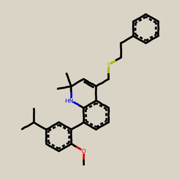 COc1ccc(C(C)C)cc1-c1cccc2c1NC(C)(C)C=C2CSCCc1ccccc1